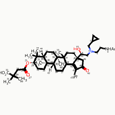 CC(=O)NCCN(CC1CC1)C[C@H](O)[C@@]12CCC3(C)C(CC[C@@H]4[C@@]5(C)CC[C@H](OC(=O)CC(C)(C)C(=O)O)C(C)(C)[C@@H]5CC[C@]43C)C1=C(C(C)C)C(=O)C2